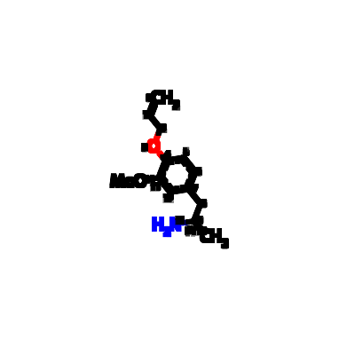 C=CCOc1ccc(C[C@@H](C)N)cc1OC